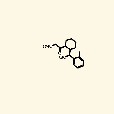 Cc1ccccc1C(C1CCCCC1C(=O)CC=O)C(C)(C)C